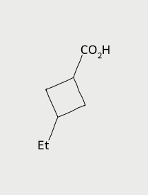 CCC1CC(C(=O)O)C1